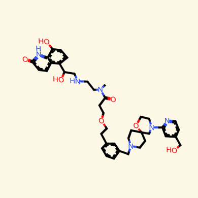 CN(CCNCC(O)c1ccc(O)c2[nH]c(=O)ccc12)C(=O)CCOCCc1cccc(CN2CCC3(CC2)CN(c2cc(CO)ccn2)CCO3)c1